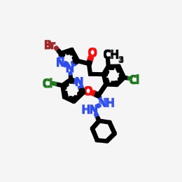 Cc1cc(Cl)cc(C(=O)NNC2CCCCC2)c1CC(=O)c1cc(Br)nn1-c1ncccc1Cl